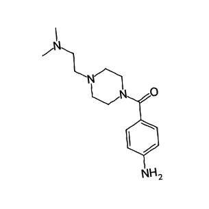 CN(C)CCN1CCN(C(=O)c2ccc(N)cc2)CC1